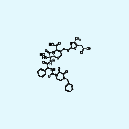 Cc1nc(SCC2=C(C(=O)O)N3C(=O)[C@@](NO)(NC(=O)C(NC(=O)N4CCN(Cc5ccccc5)C(=O)C4=O)c4ccccc4)[C@@H]3SC2)sc1CC(=O)O